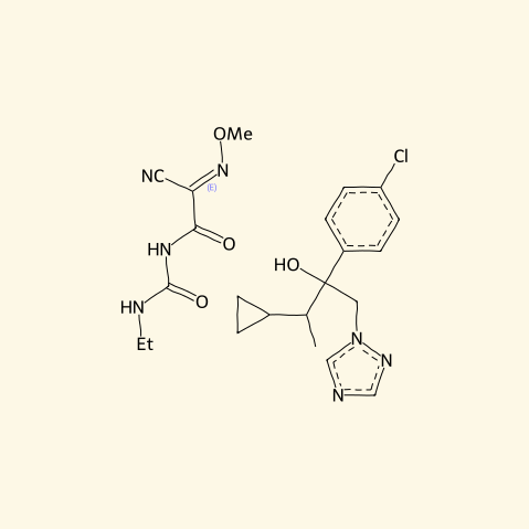 CC(C1CC1)C(O)(Cn1cncn1)c1ccc(Cl)cc1.CCNC(=O)NC(=O)/C(C#N)=N/OC